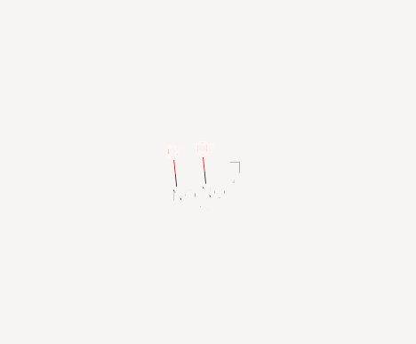 O=[N+]([O-])[O-].O=[NH+][O-].[Tl+]